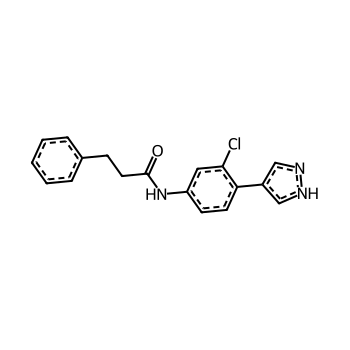 O=C(CCc1ccccc1)Nc1ccc(-c2cn[nH]c2)c(Cl)c1